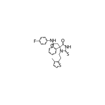 Cc1ccsc1CCN1C(=S)NC(=O)C1(CC(=O)Nc1ccc(F)cc1)c1ccccc1